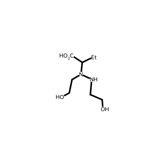 CCC(C(=O)O)N(CCO)NCCO